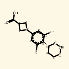 O=C(O)C1CN(c2cc(F)c([C@H]3CCONO3)c(F)c2)C1